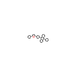 c1ccc(-c2ccc(-c3ccc(-c4c5ccccc5c(-c5ccccc5)c5ccccc45)cc3)o2)cc1